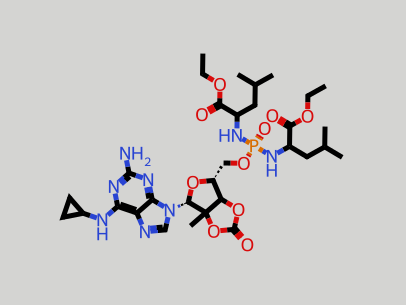 CCOC(=O)C(CC(C)C)NP(=O)(NC(CC(C)C)C(=O)OCC)OC[C@H]1O[C@@H](n2cnc3c(NC4CC4)nc(N)nc32)C2(C)OC(=O)OC12